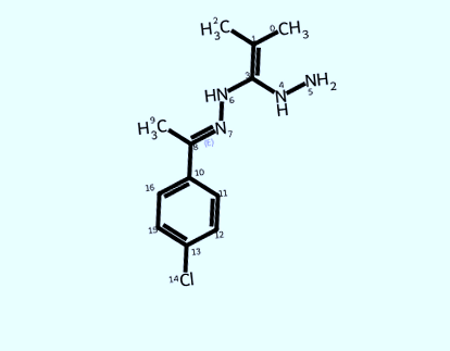 CC(C)=C(NN)N/N=C(\C)c1ccc(Cl)cc1